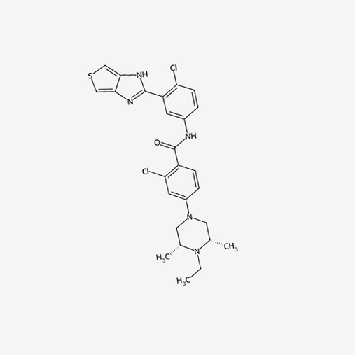 CCN1[C@H](C)CN(c2ccc(C(=O)Nc3ccc(Cl)c(-c4nc5cscc5[nH]4)c3)c(Cl)c2)C[C@@H]1C